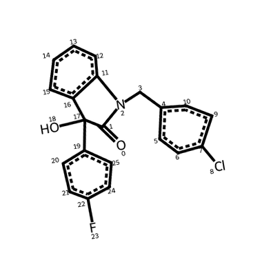 O=C1N(Cc2ccc(Cl)cc2)c2ccccc2C1(O)c1ccc(F)cc1